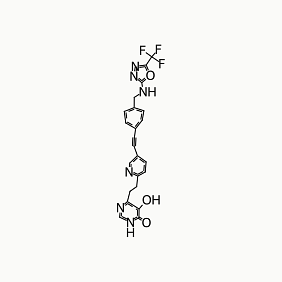 O=c1[nH]cnc(CCc2ccc(C#Cc3ccc(CNc4nnc(C(F)(F)F)o4)cc3)cn2)c1O